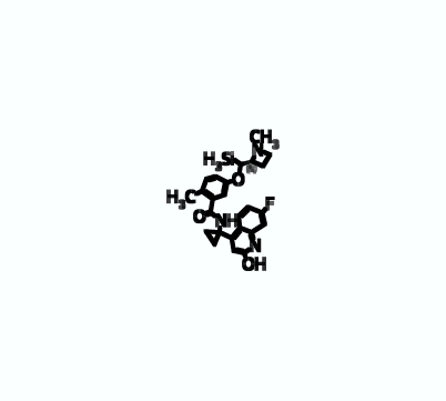 Cc1ccc(OC([SiH3])[C@@H]2CCN2C)cc1C(=O)NC1(c2cc(O)nc3cc(F)ccc23)CC1